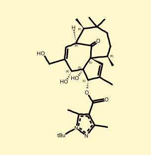 CC1=C[C@]23C(=O)[C@@H](C=C(CO)[C@@H](O)[C@]2(O)[C@H]1OC(=O)c1c(C)nn(C(C)(C)C)c1C)[C@@H](C)C(C)(C)CC[C@H]3C